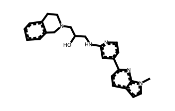 Cn1ccc2ccc(-c3ccnc(NCC(O)CN4CCc5ccccc5C4)c3)nc21